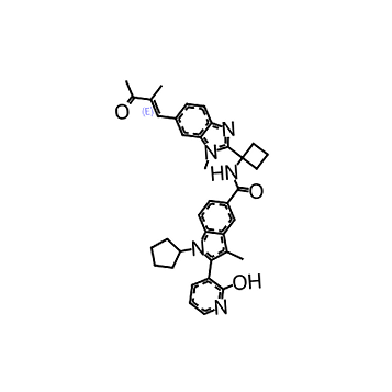 CC(=O)/C(C)=C/c1ccc2nc(C3(NC(=O)c4ccc5c(c4)c(C)c(-c4cccnc4O)n5C4CCCC4)CCC3)n(C)c2c1